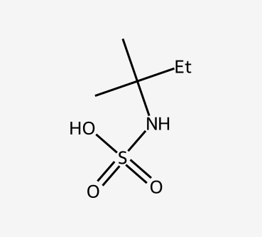 CCC(C)(C)NS(=O)(=O)O